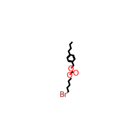 CCCCc1ccc(COC(=O)OCCCCCBr)cc1